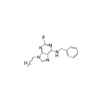 C=Cn1cnc2c(NCc3ccccc3)nc(F)nc21